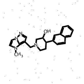 Cn1ccn2ncc(CN3CCC(c4ccc5ccccc5c4)C(O)C3)c12